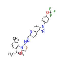 Cc1ccc(C(C)C)c(N2C(=O)CS/C2=N\N=C\c2ccc3c(ccc4c3ncn4-c3ccc(OC(F)(F)F)cc3)n2)c1